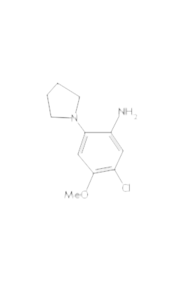 COc1cc(N2CCCC2)c(N)cc1Cl